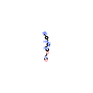 Cn1ncc(-c2ccc(CNc3cc(-c4cnc5cc(OCCCN6CCOCC6)ccn45)ncn3)cc2)n1